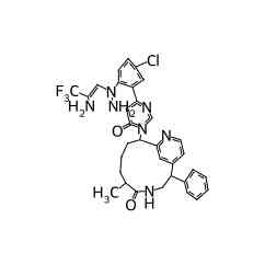 CC1CCCC(n2cnc(-c3cc(Cl)ccc3N(N)/C=C(\N)C(F)(F)F)cc2=O)c2cc(ccn2)C(c2ccccc2)CNC1=O